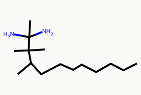 CCCCCCCCC(C)C(C)(C)C(C)(N)N